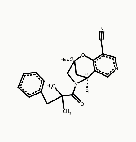 CC(C)(Cc1ccccc1)C(=O)N1C[C@@H]2C[C@H]1c1cncc(C#N)c1O2